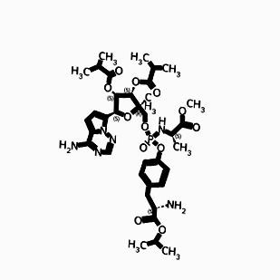 COC(=O)[C@H](C)NP(=O)(OC[C@@]1(C)O[C@@H](c2ccc3c(N)ncnn23)[C@H](OC(=O)C(C)C)[C@@H]1OC(=O)C(C)C)Oc1ccc(C[C@H](N)C(=O)OC(C)C)cc1